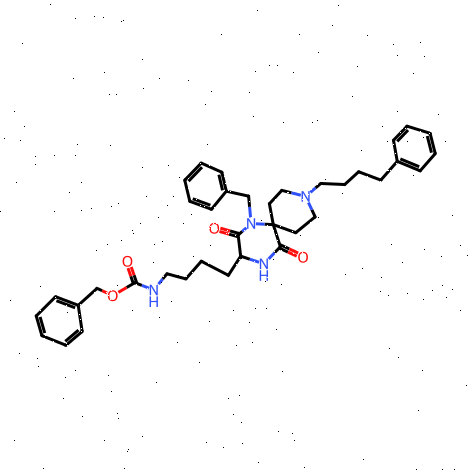 O=C(NCCCCC1NC(=O)C2(CCN(CCCCc3ccccc3)CC2)N(Cc2ccccc2)C1=O)OCc1ccccc1